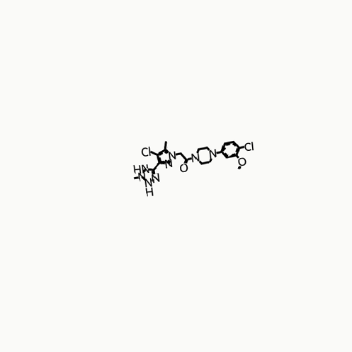 COc1cc(N2CCN(C(=O)Cn3nc(C4=NNN(C)N4)c(Cl)c3C)CC2)ccc1Cl